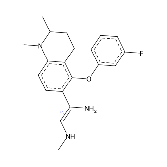 CN/C=C(\N)c1ccc2c(c1Oc1cccc(F)c1)CCC(C)N2C